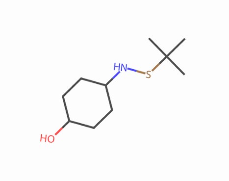 CC(C)(C)SNC1CCC(O)CC1